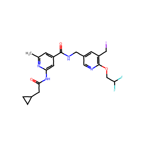 Cc1cc(C(=O)NCc2cnc(OCC(F)F)c(CI)c2)cc(NC(=O)CC2CC2)n1